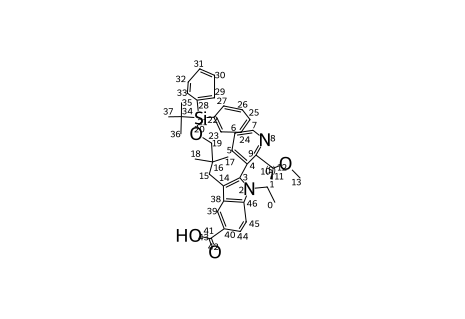 CCn1c(-c2cccnc2[C@H](C)OC)c(CC(C)(C)CO[Si](c2ccccc2)(c2ccccc2)C(C)(C)C)c2cc(C(=O)O)ccc21